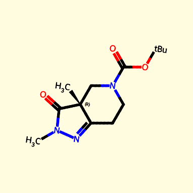 CN1N=C2CCN(C(=O)OC(C)(C)C)C[C@@]2(C)C1=O